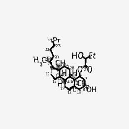 CCC(O)C(=O)OC1C[C@H](O)CC2=CC[C@H]3[C@@H]4CC[C@H]([C@H](C)CCCC(C)C)[C@@]4(C)CC[C@@H]3[C@]21C